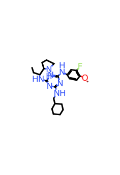 CCC(Nc1nc(NCC2CCCCC2)nc(Nc2ccc(OC)c(F)c2)n1)C1CCCN1